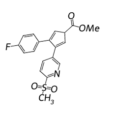 COC(=O)C1C=C(c2ccc(F)cc2)C(c2ccc(S(C)(=O)=O)nc2)=C1